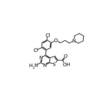 Nc1nc(-c2cc(OCCCN3CCCCC3)c(Cl)cc2Cl)c2cc(C(=O)O)sc2n1